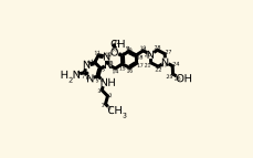 CCCCNc1nc(N)nc2cnn(Cc3ccc(CN4CCN(CCO)CC4)cc3OC)c12